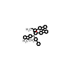 C=Cc1cccc(-c2ccc3c(c2)C2(c4ccccc4-3)c3ccccc3-c3ccc(-c4cccc(N(c5ccc(-c6ccccc6)cc5)c5ccc6c(c5)C(C)(C)c5ccccc5-6)c4)cc32)c1